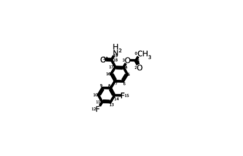 CC(=O)Oc1ccc(-c2ccc(F)cc2F)cc1C(N)=O